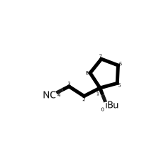 CCC(C)C1(CCC#N)CCCC1